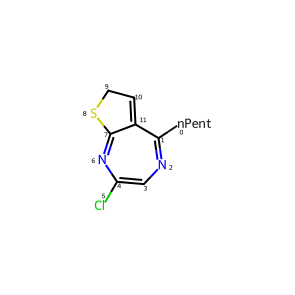 CCCCCC1=NC=C(Cl)N=C2SCC=C12